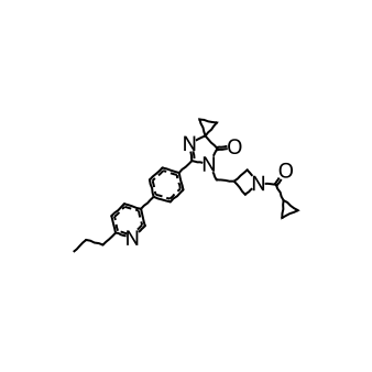 CCCc1ccc(-c2ccc(C3=NC4(CC4)C(=O)N3CC3CN(C(=O)C4CC4)C3)cc2)cn1